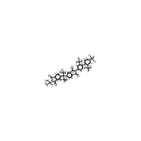 CCC(C)(CC)N1C(=O)c2ccc(C(c3ccc4c(c3)C(=O)N(c3ccc(-c5ccc(C(C)(C)C)cc5C(F)(F)F)c(C(F)(F)F)c3)C4=O)(C(F)(F)F)C(F)(F)F)cc2C1=O